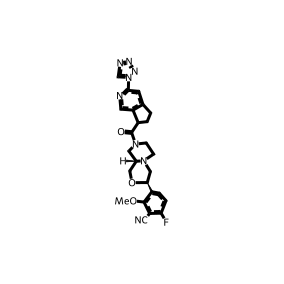 COc1c([C@@H]2CN3CCN(C(=O)C4CCc5cc(-n6cnnn6)ncc54)C[C@H]3CO2)ccc(F)c1C#N